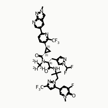 [2H]C([2H])([2H])N(C(=O)[C@H]1C[C@@H]1c1ccc(-c2cnc3nn(C)cc3c2)nc1C(F)(F)F)[C@H](Cc1cnn(C(F)F)c1)C(=O)NC(C)(C)Cn1nc(C(F)(F)F)cc1-c1cc(F)c(=O)n(C)c1